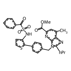 CCCc1nc2c(C)cc(C(=O)OC)nc2n1Cc1ccc(-c2sccc2NS(=O)(=O)C(=O)c2ccccc2)cc1